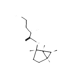 CSCC[C@H](N)C(=O)N[C@@]1(C(=O)O)CC[C@H]2[C@H](C(=O)O)[C@H]21